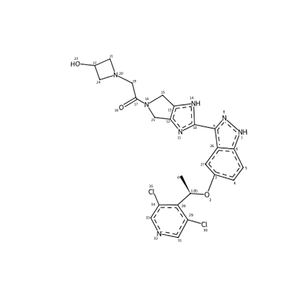 C[C@@H](Oc1ccc2[nH]nc(-c3nc4c([nH]3)CN(C(=O)CN3CC(O)C3)C4)c2c1)c1c(Cl)cncc1Cl